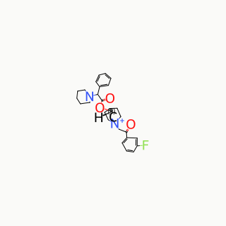 O=C(C[N+]12CCC(CC1)[C@@H](OC(=O)C(c1ccccc1)N1CCCCC1)C2)c1cccc(F)c1